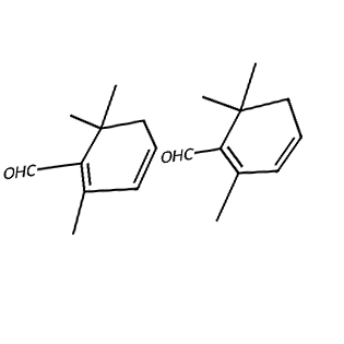 CC1=C(C=O)C(C)(C)CC=C1.CC1=C(C=O)C(C)(C)CC=C1